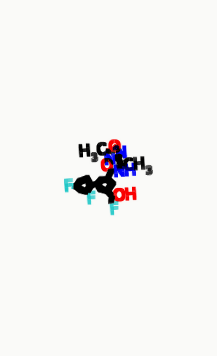 Cc1nc([C@@H](C)NC(=O)c2cc(-c3ccc(F)cc3F)cc(C(O)CF)c2)no1